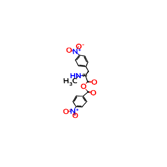 CN[C@@H](Cc1ccc([N+](=O)[O-])cc1)C(=O)OC(=O)c1ccc([N+](=O)[O-])cc1